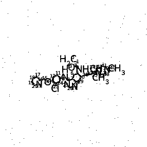 C=CC(=O)Nc1cc2c(Nc3ccc(OCc4ccccn4)c(Cl)c3)ncnc2cc1C#CC(C)(C)N1CCN(C)CC1